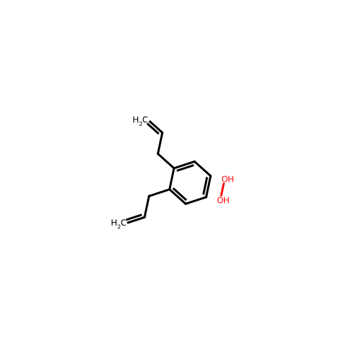 C=CCc1ccccc1CC=C.OO